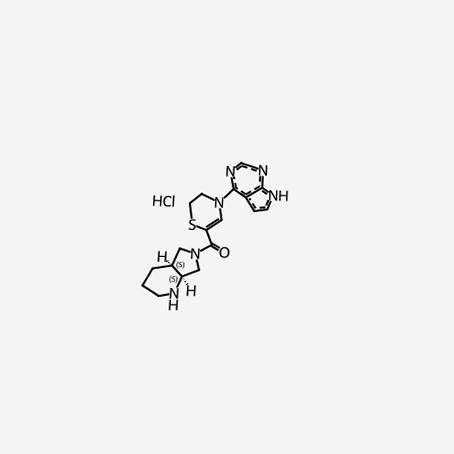 Cl.O=C(C1=CN(c2ncnc3[nH]ccc23)CCS1)N1C[C@@H]2CCCN[C@@H]2C1